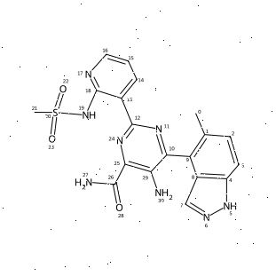 Cc1ccc2[nH]ncc2c1-c1nc(-c2cccnc2NS(C)(=O)=O)nc(C(N)=O)c1N